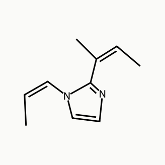 C/C=C\n1ccnc1/C(C)=C\C